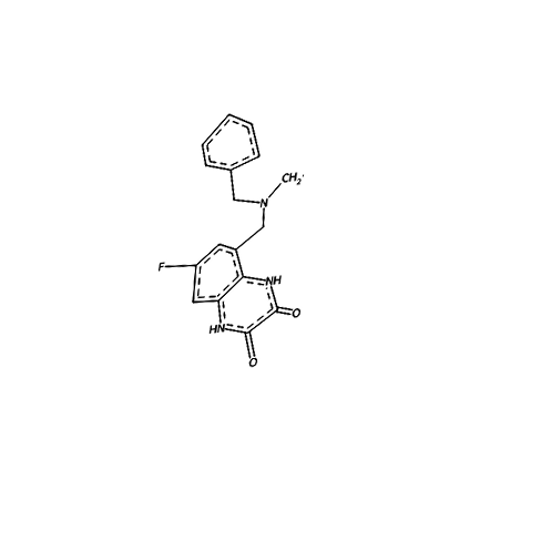 [CH2]N(Cc1ccccc1)Cc1cc(F)cc2[nH]c(=O)c(=O)[nH]c12